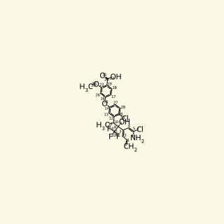 C=C/C=C(\C=C(/N)Cl)C(O)(C(C)c1cc(Oc2ccc(C(=O)O)c(OC)c2)ccc1Cl)C(F)(F)F